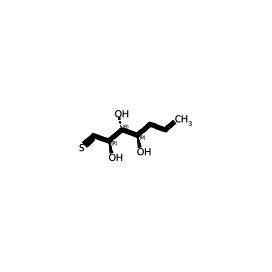 CCC[C@@H](O)[C@@H](O)[C@@H](O)C=S